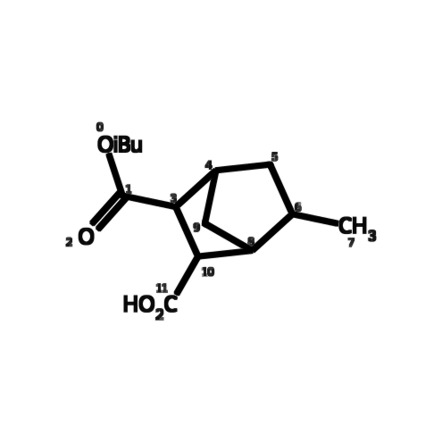 CC(C)COC(=O)C1C2CC(C)C(C2)C1C(=O)O